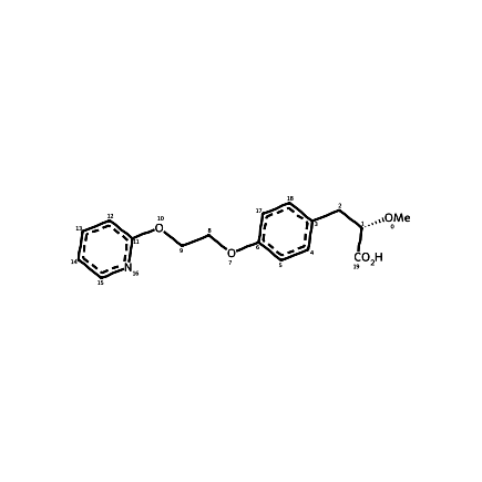 CO[C@@H](Cc1ccc(OCCOc2ccccn2)cc1)C(=O)O